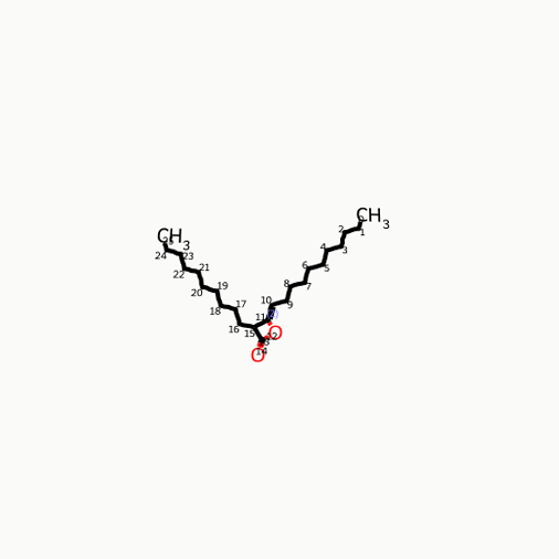 CCCCCCCCCC/C=C1\OC(=O)C1CCCCCCCCCC